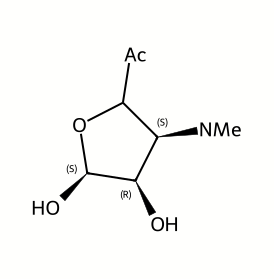 CN[C@@H]1C(C(C)=O)O[C@H](O)[C@@H]1O